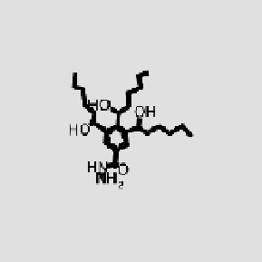 CCCCCC(O)c1cc(C(=O)NN)cc(C(O)CCCCC)c1C(O)CCCCC